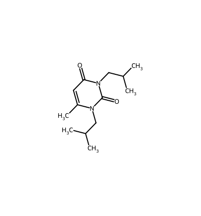 Cc1cc(=O)n(CC(C)C)c(=O)n1CC(C)C